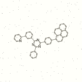 c1ccc(-c2nc(-c3ccc(-c4ccc5ccc6cccc7ccc4c5c67)cc3)nc(-c3cccc(-c4ccccn4)c3)n2)cc1